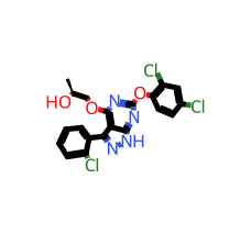 C[C@H](O)COc1nc(Oc2ccc(Cl)cc2Cl)nc2[nH]nc(-c3ccccc3Cl)c12